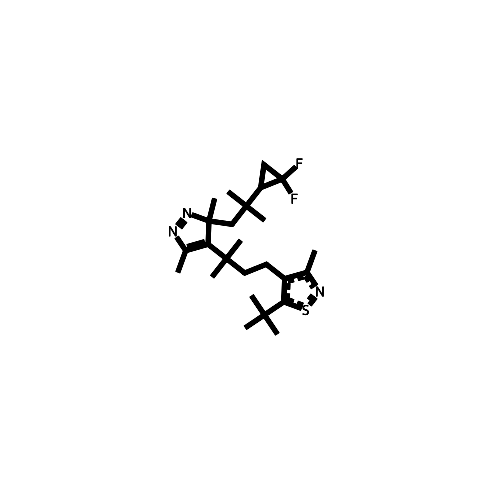 CC1=C(C(C)(C)CCc2c(C)nsc2C(C)(C)C)C(C)(CC(C)(C)C2CC2(F)F)N=N1